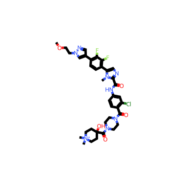 COCCn1cc(-c2ccc(-c3cnc(C(=O)Nc4ccc(C(=O)N5CCN(C(=O)C6(O)CC[N+](C)(C)CC6)CC5)c(Cl)c4)n3C)c(F)c2F)cn1